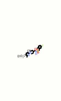 CCOC(=O)c1cc(C#N)c(N2CCC(C(=O)NS(=O)(=O)Cc3cc(F)ccc3C)CC2)nc1C